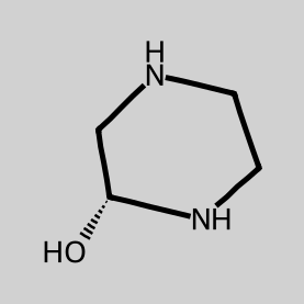 O[C@@H]1CNCCN1